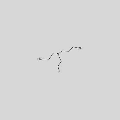 OCCCN(CCO)CCF